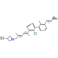 CCC(C)/C=C/c1cccc(-c2cccc(/C(C)=C/C=C(\C)CN3CC(CC)C3)c2Cl)c1C